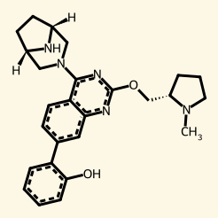 CN1CCC[C@H]1COc1nc(N2C[C@H]3CC[C@@H](C2)N3)c2ccc(-c3ccccc3O)cc2n1